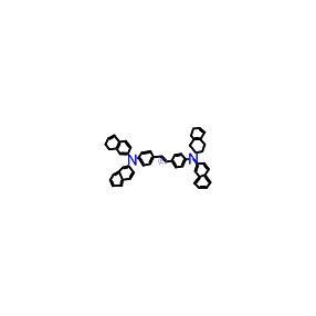 C1=CC2=C(CC1)CC(N(c1ccc(/C=C/c3ccc(N(c4ccc5c(c4)CCC=C5)c4ccc5ccccc5c4)cc3)cc1)c1ccc3ccccc3c1)CC2